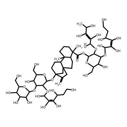 C=C1CC23CCC4C(C)(C(=O)OC5OC(CO)C(O)C(OC(O)/C(O)=C(/O)C(O)CCO)C5OC(O)/C(O)=C(\O)C(C)O)CCCC4(C)C2CCC1(OC1OC(CO)C(O)C(OC2OC(CO)C(O)C(O)C2O)C1OC(O)/C(O)=C(/O)C(O)CCO)C3